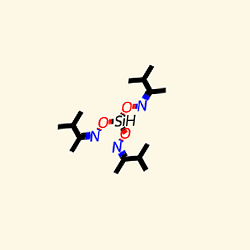 CC(=NO[SiH](ON=C(C)C(C)C)ON=C(C)C(C)C)C(C)C